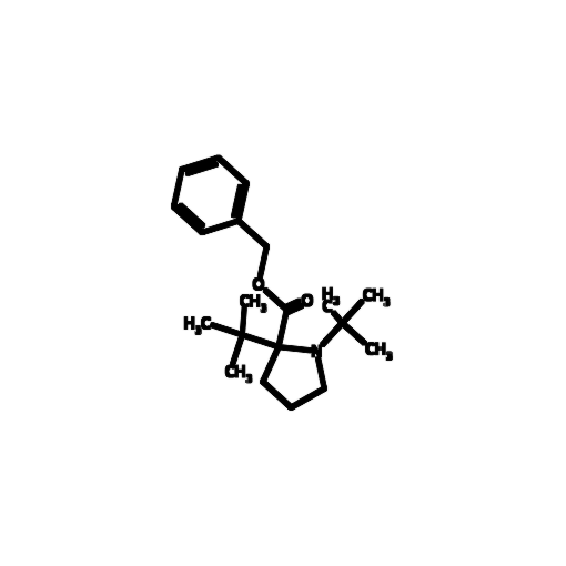 CC(C)(C)N1CCCC1(C(=O)OCc1ccccc1)C(C)(C)C